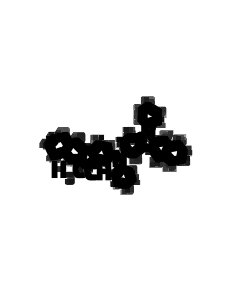 CC1(C)c2cc(N(c3ccccc3)c3ccc4c(c3)c3cc5ccccc5cc3n4-c3ccccc3)ccc2-c2cc3ccccc3cc21